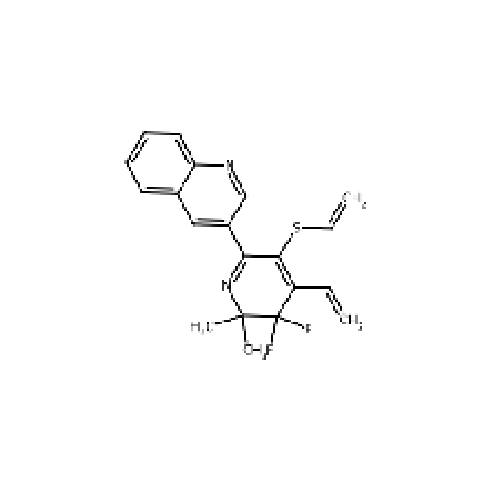 C=CSC1=C(C=C)C(F)(F)C(C)(C)N=C1c1cnc2ccccc2c1